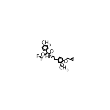 COc1cc(CCNC(=O)C(=COC(F)F)c2ccc(C)cc2)ccc1OCC1CC1